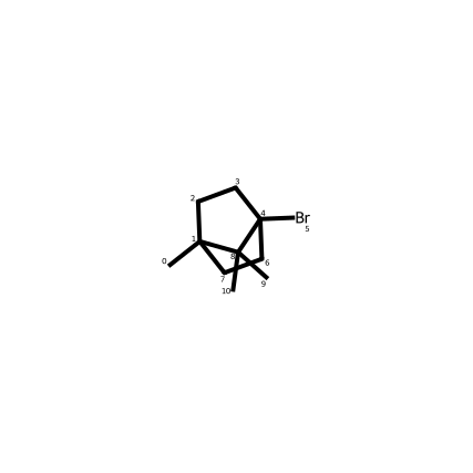 CC12CCC(Br)(CC1)C2(C)C